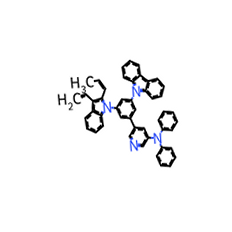 C=Cc1c(/C=C\C)n(-c2cc(-c3cncc(N(c4ccccc4)c4ccccc4)c3)cc(-n3c4ccccc4c4ccccc43)c2)c2ccccc12